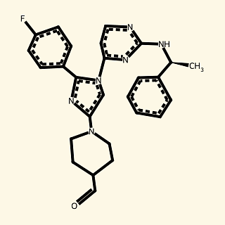 C[C@H](Nc1nccc(-n2cc(N3CCC(C=O)CC3)nc2-c2ccc(F)cc2)n1)c1ccccc1